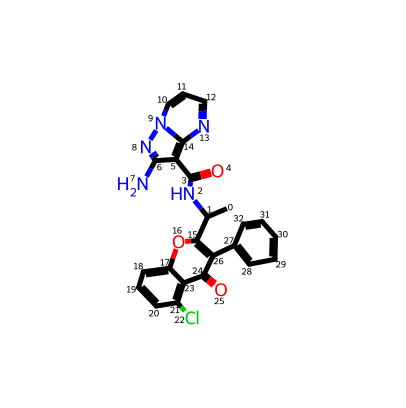 CC(NC(=O)c1c(N)nn2cccnc12)c1oc2cccc(Cl)c2c(=O)c1-c1ccccc1